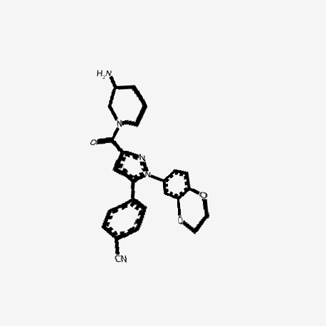 N#Cc1ccc(-c2cc(C(=O)N3CCCC(N)C3)nn2-c2ccc3c(c2)OCCO3)cc1